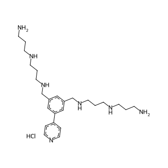 Cl.NCCCNCCCNCc1cc(CNCCCNCCCN)cc(-c2ccncc2)c1